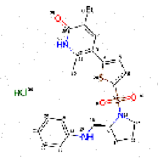 CCc1cc(-c2ccc(S(=O)(=O)N3CCC[C@H]3CNc3ccccc3)s2)c(C)[nH]c1=O.Cl